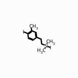 Cc1cc(CC[Si](C)(C)I)ccc1I